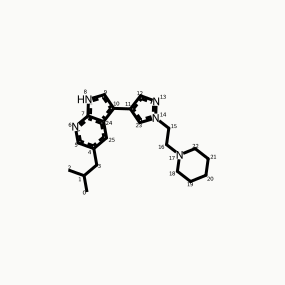 CC(C)Cc1cnc2[nH]cc(-c3cnn(CCN4CCCCC4)c3)c2c1